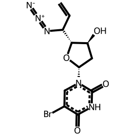 C=CC(N=[N+]=[N-])[C@H]1O[C@@H](n2cc(Br)c(=O)[nH]c2=O)C[C@@H]1O